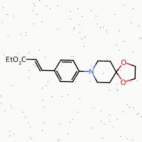 CCOC(=O)C=Cc1ccc(N2CCC3(CC2)OCCO3)cc1